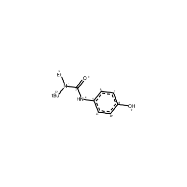 CCN(C(=O)Nc1ccc(O)cc1)C(C)(C)C